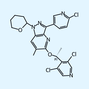 Cc1cc2c(nc1O[C@H](C)c1c(Cl)cncc1Cl)c(-c1ccc(Cl)nc1)nn2C1CCCCO1